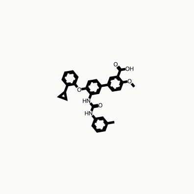 COc1ccc(-c2ccc(Oc3ccccc3C3CC3)c(NC(=O)Nc3cccc(C)c3)c2)cc1C(=O)O